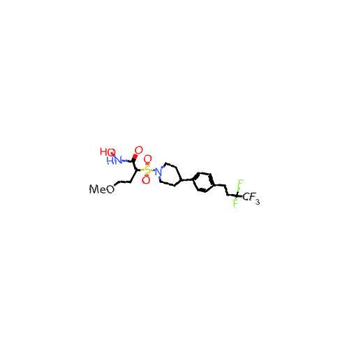 COCCC(C(=O)NO)S(=O)(=O)N1CCC(c2ccc(CCC(F)(F)C(F)(F)F)cc2)CC1